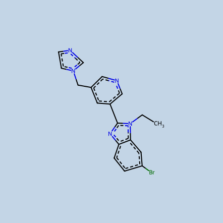 CCn1c(-c2cncc(Cn3ccnc3)c2)nc2ccc(Br)cc21